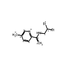 C=C(NCC(CC)CC)c1ccc(C)cn1